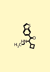 CCNC(C(=O)c1ccc2ccsc2c1)C1CCC1